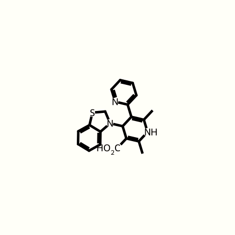 CC1=C(C(=O)O)C(N2CSc3ccccc32)C(c2ccccn2)=C(C)N1